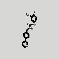 O=C(NCc1ccc(-c2cccnc2)cc1)Nc1ccc(F)c(C(F)(F)F)c1